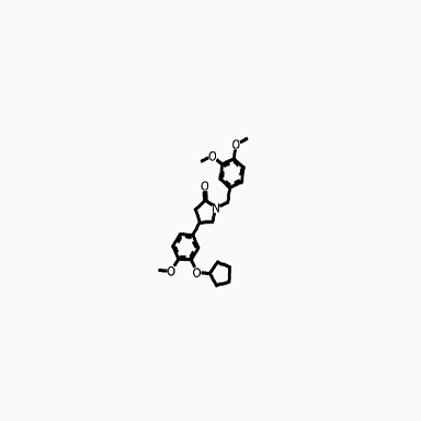 COc1ccc(CN2CC(c3ccc(OC)c(OC4CCCC4)c3)CC2=O)cc1OC